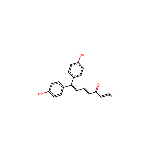 C=CC(=O)C=CC=C(c1ccc(O)cc1)c1ccc(O)cc1